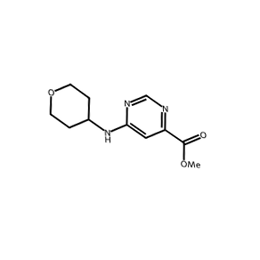 COC(=O)c1cc(NC2CCOCC2)ncn1